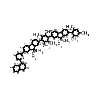 Cc1cc(C)c(-c2ccc3c(c2)C(C)(C)c2cc(-c4c(C)c(C)c(-c5ccc6c(c5)C(C)(C)c5cc(-c7cccc(-c8cccc9ccccc89)n7)ccc5-6)c(C)c4C)ccc2-3)c(C)c1